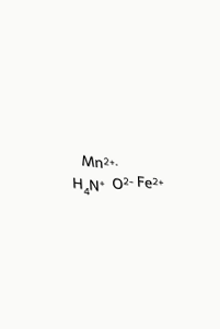 [Fe+2].[Mn+2].[NH4+].[O-2]